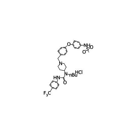 CCCCN(C(=O)Nc1ccc(C(F)(F)F)cc1)C1CCN(Cc2ccc(Oc3ccc(NS(C)(=O)=O)cc3)cc2)CC1.Cl